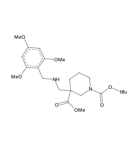 COC(=O)C1(CNCc2c(OC)cc(OC)cc2OC)CCCN(C(=O)OC(C)(C)C)C1